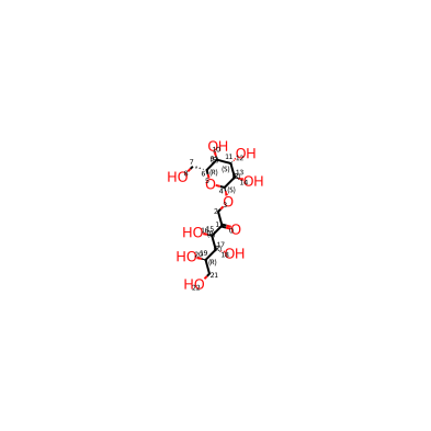 O=C(CO[C@H]1O[C@H](CO)[C@@H](O)[C@H](O)[C@H]1O)[C@H](O)[C@H](O)[C@H](O)CO